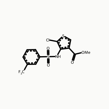 COC(=O)c1csc(Cl)c1NS(=O)(=O)c1cccc(C(F)(F)F)c1